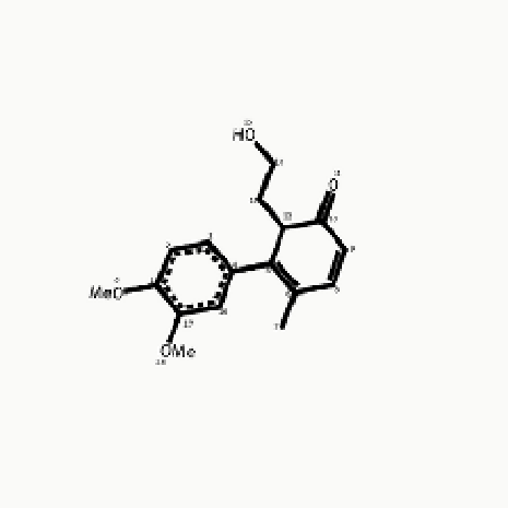 COc1ccc(C2=C(C)C=CC(=O)C2CCO)cc1OC